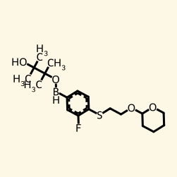 CC(C)(O)C(C)(C)OBc1ccc(SCCOC2CCCCO2)c(F)c1